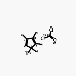 CC1=C[C](C)([Ti])C(C)=C1C.O=C(Cl)Cl